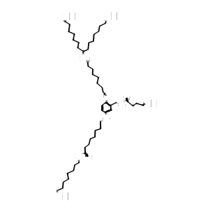 CCCCCCCCCOC(=O)CCCCCCCOc1ccc(OCCCCCCCC(=O)OC(CCCCCCCC)CCCCCCCC)c(COC(=O)CCCC)c1